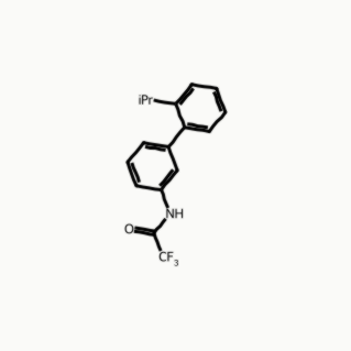 CC(C)c1ccccc1-c1cccc(NC(=O)C(F)(F)F)c1